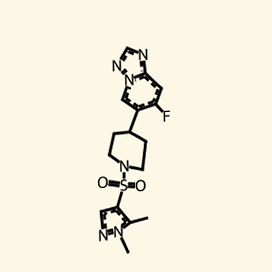 Cc1c(S(=O)(=O)N2CCC(c3cn4ncnc4cc3F)CC2)cnn1C